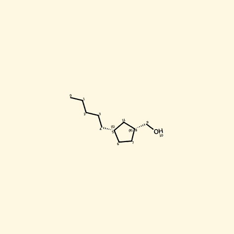 CCCCC[C@H]1CC[C@@H](CO)C1